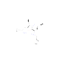 C#Cc1cc(NCc2cccs2)c2oc(C[C@@H](N)C3CC3)c(C#C)c2n1